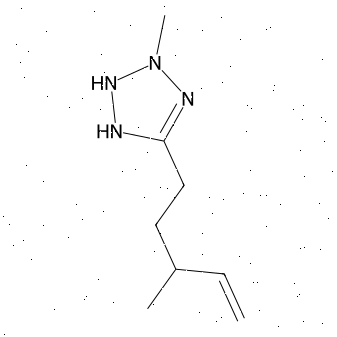 C=CC(C)CCC1=NN(C)NN1